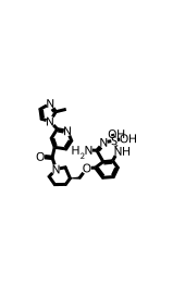 Cc1nccn1-c1cc(C(=O)N2CCC[C@H](COc3cccc4c3C(N)=NS(O)(O)N4)C2)ccn1